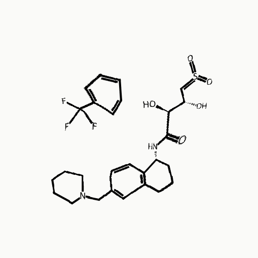 FC(F)(F)c1ccccc1.O=C(N[C@@H]1CCCc2cc(CN3CCCCC3)ccc21)[C@@H](O)[C@@H](O)C=S(=O)=O